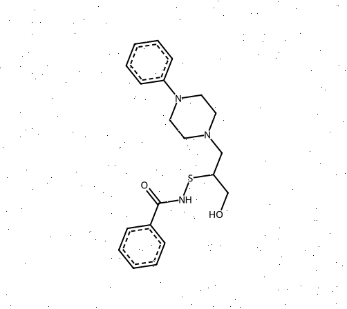 O=C(NSC(CO)CN1CCN(c2ccccc2)CC1)c1ccccc1